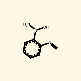 C=Nc1ccccc1N(N)O